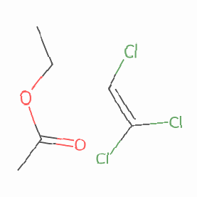 CCOC(C)=O.ClC=C(Cl)Cl